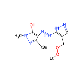 CCOOCc1cn[nH]c1/N=N/c1c(C(C)(C)C)nn(C)c1O